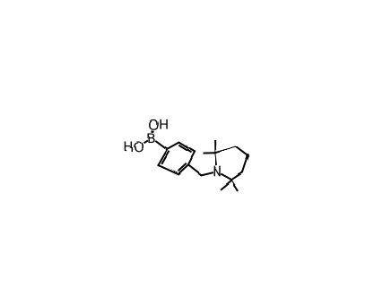 CC1(C)CCCC(C)(C)N1Cc1ccc(B(O)O)cc1